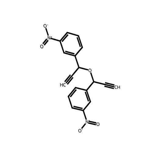 C#CC(OC(C#C)c1cccc([N+](=O)[O-])c1)c1cccc([N+](=O)[O-])c1